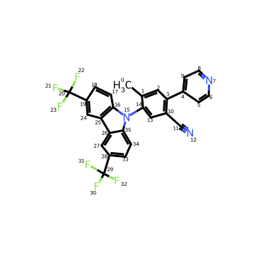 Cc1cc(-c2ccncc2)c(C#N)cc1-n1c2ccc(C(F)(F)F)cc2c2cc(C(F)(F)F)ccc21